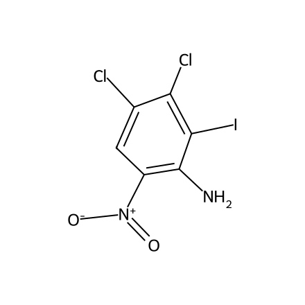 Nc1c([N+](=O)[O-])cc(Cl)c(Cl)c1I